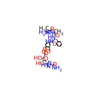 C[C@H](N)C(=O)N[C@@H](C)C(=O)N[C@@H](Cc1ccccc1)C(=O)Nc1ccc2c(c1)COP(=O)(OC[C@H]1O[C@H](c3nc(C(N)=O)n[nH]3)[C@H](O)[C@@H]1O)O2